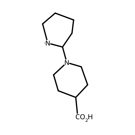 O=C(O)C1CCN(C2CCCC[N]2)CC1